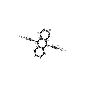 [O-][N+]#Cc1c2ccccc2c(C#[N+][O-])c2ccccc12